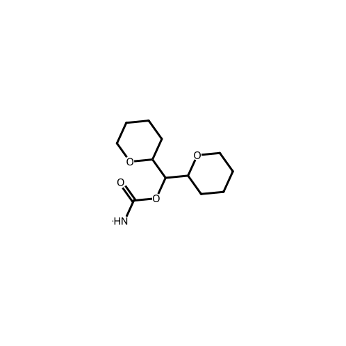 [NH]C(=O)OC(C1CCCCO1)C1CCCCO1